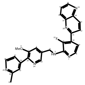 COc1cc(CNc2nccc(-c3ccc4ncccc4n3)c2F)cnc1-c1ccnc(C)c1